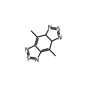 CC1=C2N=S=NC2=C(C)C2N=S=NC12